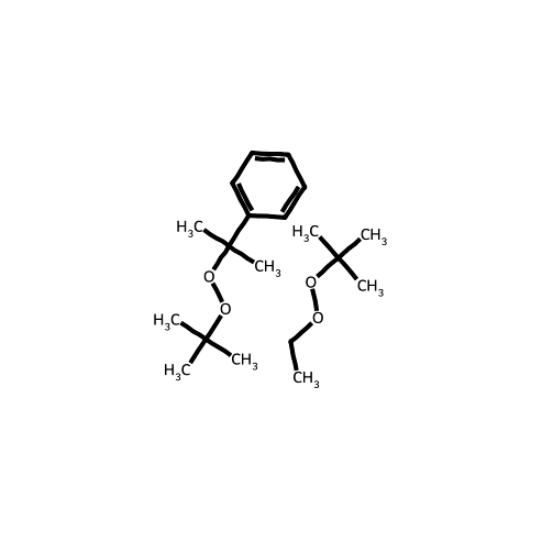 CC(C)(C)OOC(C)(C)c1ccccc1.CCOOC(C)(C)C